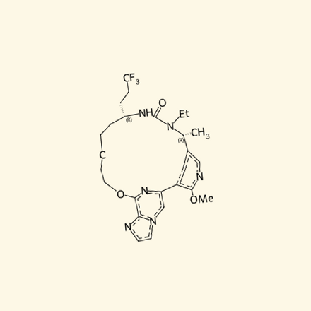 CCN1C(=O)N[C@@H](CCC(F)(F)F)CCCCCOc2nc(cn3ccnc23)-c2cc(cnc2OC)[C@H]1C